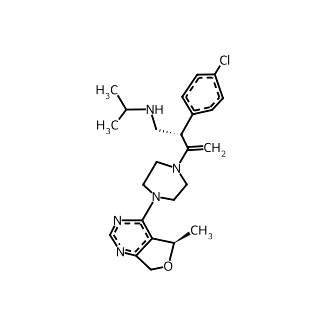 C=C([C@H](CNC(C)C)c1ccc(Cl)cc1)N1CCN(c2ncnc3c2[C@@H](C)OC3)CC1